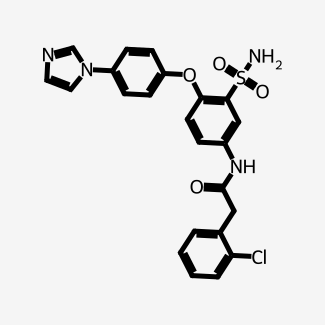 NS(=O)(=O)c1cc(NC(=O)Cc2ccccc2Cl)ccc1Oc1ccc(-n2ccnc2)cc1